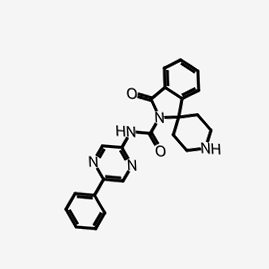 O=C(Nc1cnc(-c2ccccc2)cn1)N1C(=O)c2ccccc2C12CCNCC2